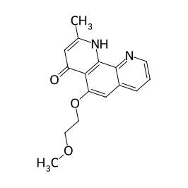 COCCOc1cc2cccnc2c2[nH]c(C)cc(=O)c12